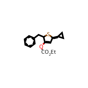 CCOC(=O)OC1=CC(=C2CC2)SC1Cc1ccccc1